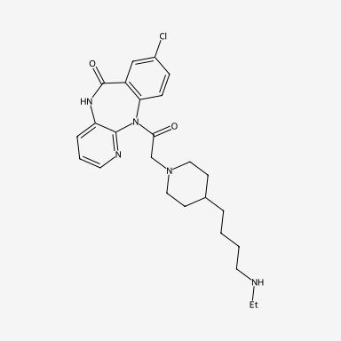 CCNCCCCC1CCN(CC(=O)N2c3ccc(Cl)cc3C(=O)Nc3cccnc32)CC1